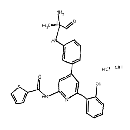 C[C@@](N)(C=O)Nc1cccc(-c2cc(NC(=O)c3cccs3)nc(-c3ccccc3O)c2)c1.Cl.Cl